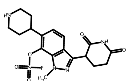 Cn1nc(C2CCC(=O)NC2=O)c2ccc(C3CCNCC3)c(OS(=O)(=O)F)c21